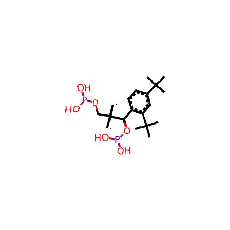 [CH2]C([CH2])(COP(O)O)C(OP(O)O)c1ccc(C(C)(C)C)cc1C(C)(C)C